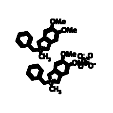 COc1cc2c(cc1OC)C[N+](C)(Cc1ccccc1)C2.COc1cc2c(cc1OC)C[N+](C)(Cc1ccccc1)C2.O=S(=O)([O-])[O-]